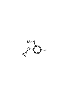 CNc1cc(F)ccc1OC1CC1